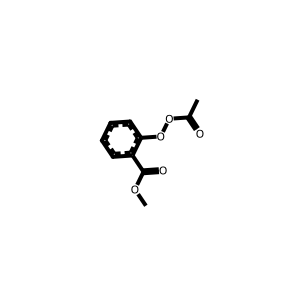 COC(=O)c1ccccc1OOC(C)=O